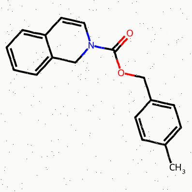 Cc1ccc(COC(=O)N2C=Cc3ccccc3C2)cc1